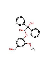 COc1cc(C=O)ccc1OC(=O)C(O)(c1ccccc1)c1ccccc1